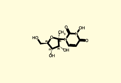 C[C@@]1(n2ccc(=O)n(O)c2=O)O[C@H](CO)[C@@H](O)[C@H]1O